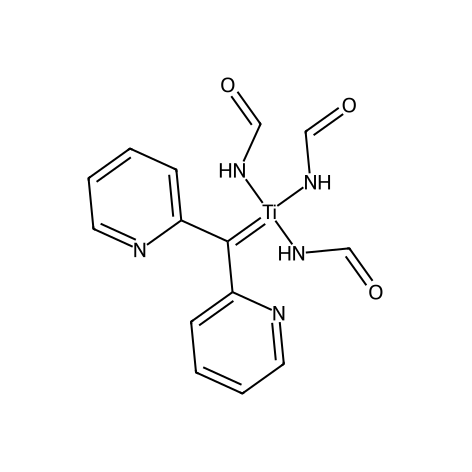 O=C[NH][Ti]([NH]C=O)([NH]C=O)=[C](c1ccccn1)c1ccccn1